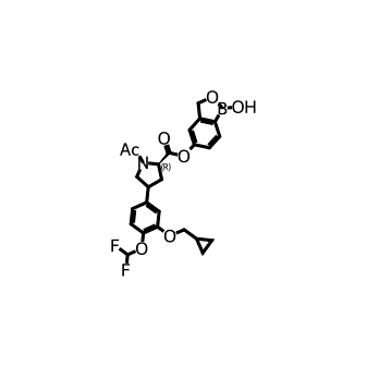 CC(=O)N1CC(c2ccc(OC(F)F)c(OCC3CC3)c2)C[C@@H]1C(=O)Oc1ccc2c(c1)COB2O